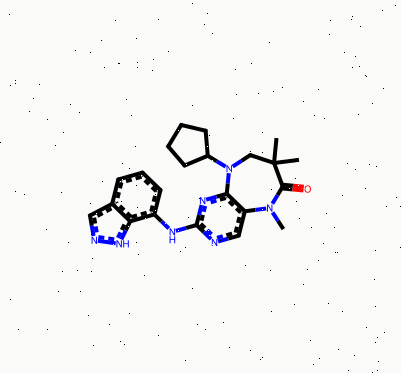 CN1C(=O)C(C)(C)CN(C2CCCC2)c2nc(Nc3cccc4cn[nH]c34)ncc21